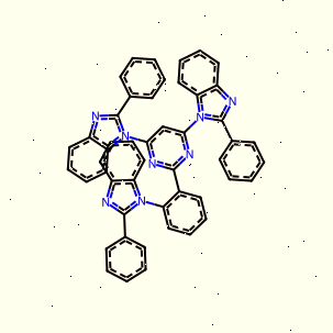 c1ccc(-c2nc3ccccc3n2-c2cc(-n3c(-c4ccccc4)nc4ccccc43)nc(-c3ccccc3-n3c(-c4ccccc4)nc4ccccc43)n2)cc1